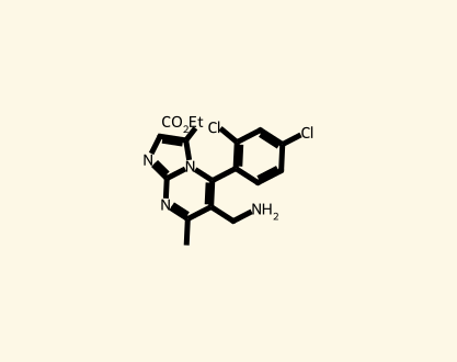 CCOC(=O)c1cnc2nc(C)c(CN)c(-c3ccc(Cl)cc3Cl)n12